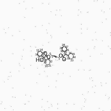 O=C(OCC#CCOC(=O)C(O)(c1ccccc1)C1CCCCC1)C(c1ccccc1)C1CCCCC1